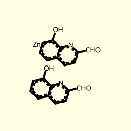 O=Cc1ccc2cccc(O)c2n1.O=Cc1ccc2cccc(O)c2n1.[Zn]